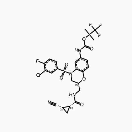 CC(C)(OC(=O)Nc1ccc2c(c1)N(S(=O)(=O)c1ccc(F)c(Cl)c1)C[C@H](CNC(=O)[C@@H]1C[C@@H]1C#N)O2)C(F)(F)F